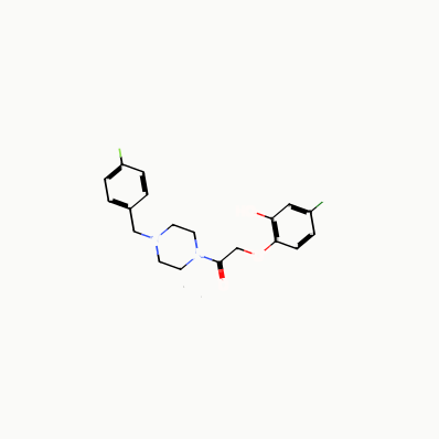 C[C@@H]1CN(Cc2ccc(F)cc2)CCN1C(=O)COc1ccc(Cl)cc1O